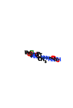 Cc1cc(Nc2ncc(Cl)c(Nc3ccccc3S(=O)(=O)C(C)C)n2)c(OC(C)C)cc1C1CCN(C2CN(C3CN(c4ccc(C(=O)NC5CCC(=O)NC5=O)cc4)C3)C2)CC1